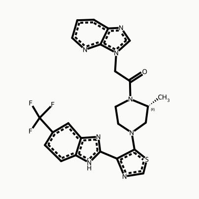 C[C@@H]1CN(c2scnc2-c2nc3cc(C(F)(F)F)ccc3[nH]2)CCN1C(=O)Cn1cnc2cccnc21